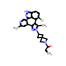 C=CC(=O)N1CC2(CC(n3nc(-c4ccnc(C)c4)c(-c4c(Cl)ccc5[nH]ncc45)c3C)C2)C1